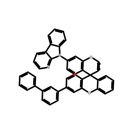 c1ccc(-c2cccc(-c3ccc4c(c3)Oc3ccccc3C43c4ccccc4Oc4cc(-n5c6ccccc6c6cccnc65)ccc43)c2)cc1